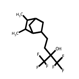 CC1C2CC(CCC(O)(C(F)(F)F)C(F)(F)F)C(C2)C1C